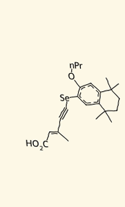 CCCOc1cc2c(cc1[Se]C#C/C(C)=C/C(=O)O)C(C)(C)CCC2(C)C